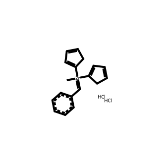 Cl.Cl.[CH3][Zr](=[CH]c1ccccc1)([C]1=CC=CC1)[C]1=CC=CC1